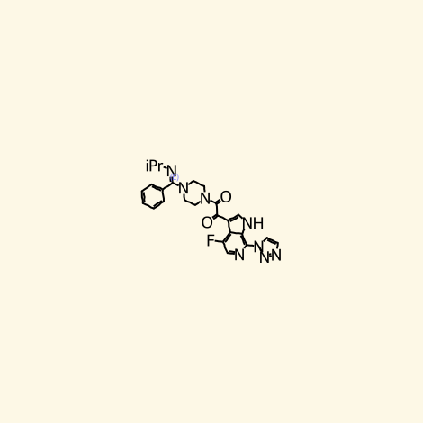 CC(C)/N=C(\c1ccccc1)N1CCN(C(=O)C(=O)c2c[nH]c3c(-n4ccnn4)ncc(F)c23)CC1